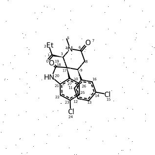 C=C(CC)[C@H]1N(C)C(=O)C[C@@H](c2cccc(Cl)c2)[C@]12C(=O)Nc1cc(Cl)ccc12